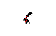 Cc1nnc(COc2cnc(/C(F)=C/c3ccc(F)c([C@@]4(C)N=C(N)S[C@@]5(S(C)(=O)=O)C[C@H]54)c3)cn2)o1